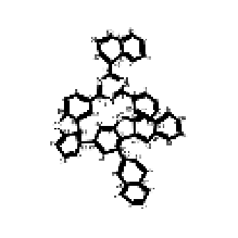 c1ccc(-c2nc(-c3ccc4oc5cccc(-c6cc(-c7ccc8ccccc8c7)c7c(c6)sc6cc8ccccc8cc67)c5c4c3)nc(-c3cccc4ccccc34)n2)cc1